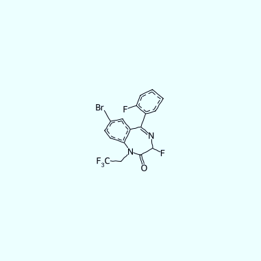 O=C1C(F)N=C(c2ccccc2F)c2cc(Br)ccc2N1CC(F)(F)F